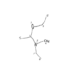 CCOC(C)N(O)CC